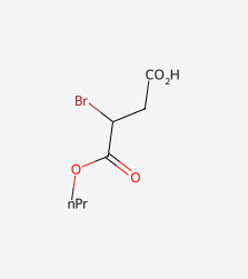 CCCOC(=O)C(Br)CC(=O)O